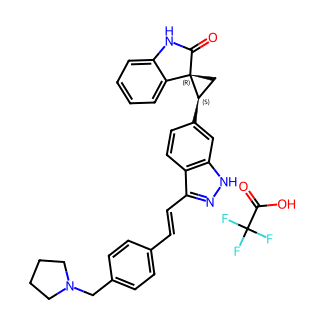 O=C(O)C(F)(F)F.O=C1Nc2ccccc2[C@]12C[C@H]2c1ccc2c(C=Cc3ccc(CN4CCCC4)cc3)n[nH]c2c1